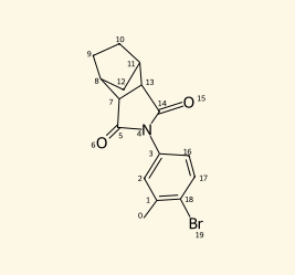 Cc1cc(N2C(=O)C3C4CCC(C4)C3C2=O)ccc1Br